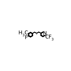 Cc1cc(C[CH]Cc2ccc(C(F)(F)F)nc2)ccc1F